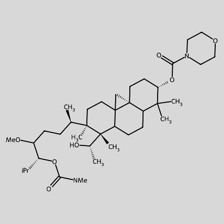 CNC(=O)O[C@H](C(C)C)C(CC[C@@H](C)[C@@]1(C)CCC23C[C@@]24CC[C@H](OC(=O)N2CCOCC2)C(C)(C)C4CCC3[C@]1(C)[C@H](C)O)OC